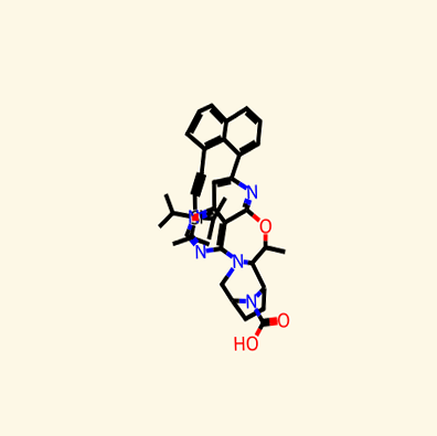 CC1Oc2nc(-c3cccc4cccc(C#C[Si](C(C)C)(C(C)C)C(C)C)c34)cc3ncnc(c23)N2CC3CCC(C12)N3C(=O)O